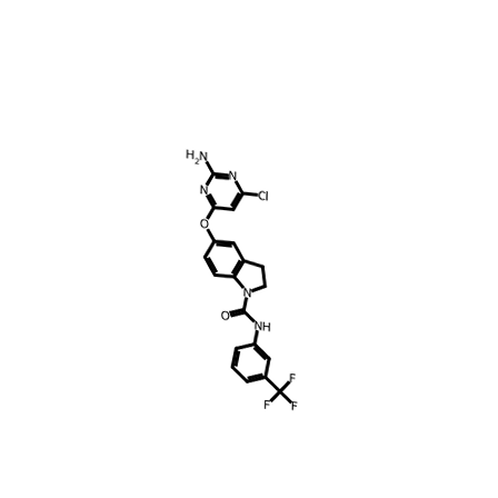 Nc1nc(Cl)cc(Oc2ccc3c(c2)CCN3C(=O)Nc2cccc(C(F)(F)F)c2)n1